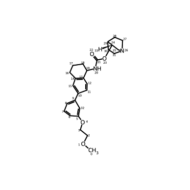 COCCOc1cccc(-c2ccc3c(c2)CCCC3NC(=O)O[C@H]2CN3CCC2CC3)c1